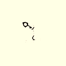 CC(=O)O[C@H](C)CCOC[C@@H]1COC(c2ccccc2)=N1